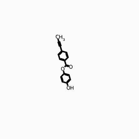 CC#Cc1ccc(C(=O)Oc2ccc(O)cc2)cc1